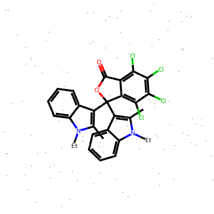 CCn1c(C)c(C2(c3c(C)n(CC)c4ccccc34)OC(=O)c3c(Cl)c(Cl)c(Cl)c(Cl)c32)c2ccccc21